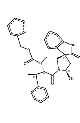 C[C@H](c1ccccc1)[C@@H](C(=O)N1C[C@]2(C[C@H]1C#N)C(=O)Nc1ccccc12)N(C)C(=O)OCc1ccccc1